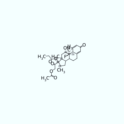 CCC(=O)O[C@]1(C(=O)COC(C)=O)[C@@H](C)CC2C3CCC4=CC(=O)C=C[C@]4(C)[C@@]3(F)[C@@H](O)C[C@@]21C